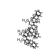 CCCC(NC(=O)C1[C@H]2CCC[C@H]2CN1C(=O)[C@@H](NC(=O)[C@H](NC(=O)c1cnccn1)C(C)C)C(C)(C)C)C(=O)C(=O)NC(Cc1ccccc1)C(=O)O